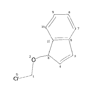 ClCOC1C=Cc2ccc[c]c21